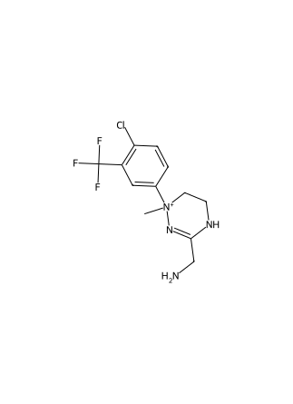 C[N+]1(c2ccc(Cl)c(C(F)(F)F)c2)CCNC(CN)=N1